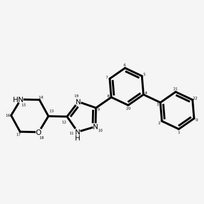 c1ccc(-c2cccc(-c3n[nH]c(C4CNCCO4)n3)c2)cc1